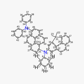 [2H]c1c([2H])c([2H])c(N(c2cc3c4c(ccc5cccc(c54)C3(C)C)c2)c2ccc3ccc4c(N(c5ccccc5)c5ccccc5)ccc5ccc2c3c54)c([2H])c1[2H]